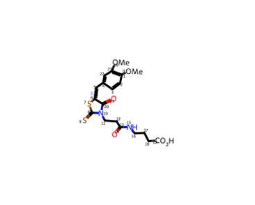 COc1ccc(/C=C2/SC(=S)N(CCC(=O)NCCCC(=O)O)C2=O)cc1OC